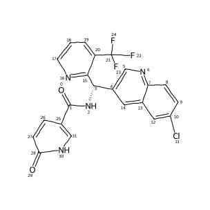 O=C(N[C@@H](c1cnc2ccc(Cl)cc2c1)c1ncccc1C(F)(F)F)c1ccc(=O)[nH]c1